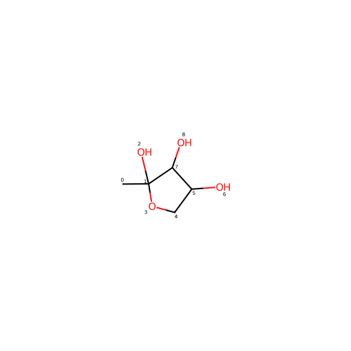 CC1(O)OCC(O)C1O